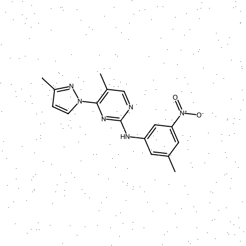 Cc1cc(Nc2ncc(C)c(-n3ccc(C)n3)n2)cc([N+](=O)[O-])c1